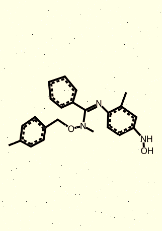 Cc1ccc(CON(C)/C(=N\c2ccc(NO)cc2C)c2ccccc2)cc1